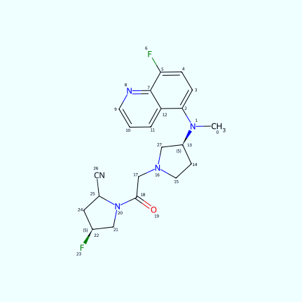 CN(c1ccc(F)c2ncccc12)[C@H]1CCN(CC(=O)N2C[C@@H](F)CC2C#N)C1